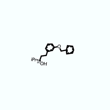 CC(C)[C@H](O)CCc1cccc(OCc2ccccc2)c1